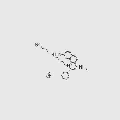 C[N+](C)(C)CCCCCCCCCC[n+]1c(-c2ccccc2)cc(N)c2ccc3ccc(N)cc3c21.[Cl-].[Cl-]